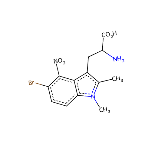 Cc1c(CC(N)C(=O)O)c2c([N+](=O)[O-])c(Br)ccc2n1C